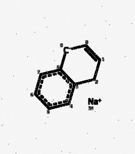 C1=CCc2ccccc2[CH-]1.[Na+]